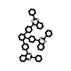 c1ccc(-c2nc(-c3ccc(-c4cccc(-c5ccc(-c6nc(-c7ccccc7)nc7ccccc67)cc5)c4-c4ccc(-c5nc(-c6ccccc6)nc6ccccc56)cc4)cc3)c3ccccc3n2)cc1